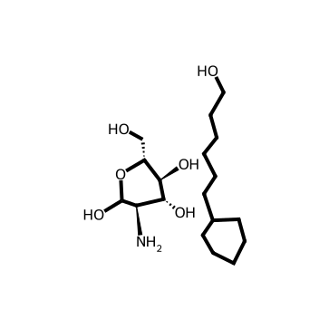 N[C@H]1C(O)O[C@H](CO)[C@@H](O)[C@@H]1O.OCCCCCCC1CCCCC1